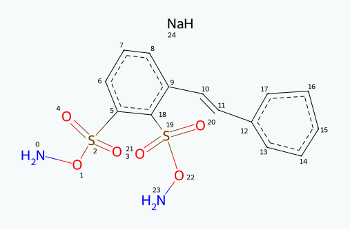 NOS(=O)(=O)c1cccc(C=Cc2ccccc2)c1S(=O)(=O)ON.[NaH]